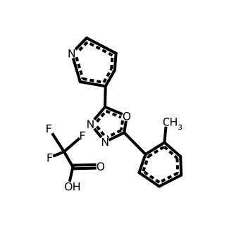 Cc1ccccc1-c1nnc(-c2cccnc2)o1.O=C(O)C(F)(F)F